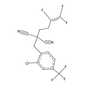 N#CC(C#N)(CCC(F)=C(F)F)Cc1ccc(C(F)(F)F)cc1Cl